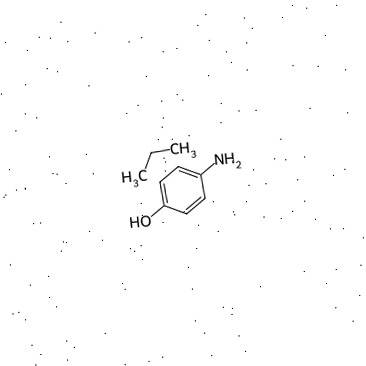 CCC.Nc1ccc(O)cc1